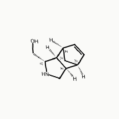 OC[C@H]1NC[C@H]2[C@@H]1[C@H]1C=C[C@@H]2C1